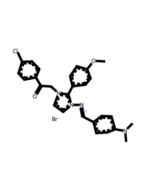 COc1ccc(-c2n(/N=C/c3ccc(N(C)C)cc3)cc[n+]2CC(=O)c2ccc(Cl)cc2)cc1.[Br-]